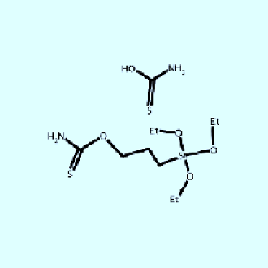 CCO[Si](CCCOC(N)=S)(OCC)OCC.NC(O)=S